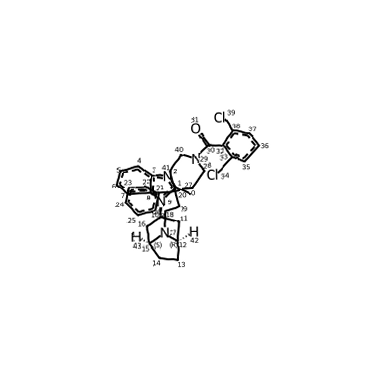 Cc1nc2ccccc2n1[C@H]1C[C@H]2CC[C@@H](C1)N2CCC1(c2ccccc2)CCN(C(=O)c2c(Cl)cccc2Cl)CC1